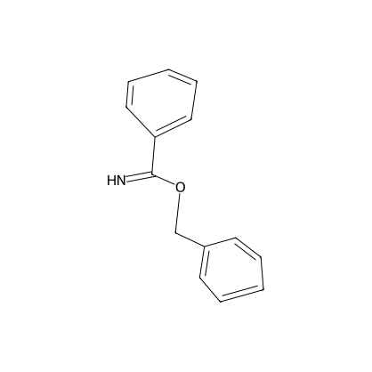 N=C(OCc1ccccc1)c1ccccc1